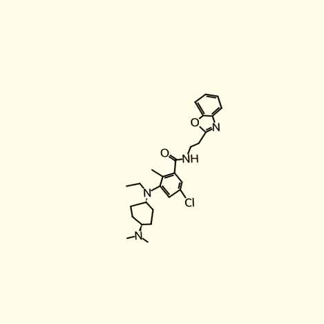 CCN(c1cc(Cl)cc(C(=O)NCCc2nc3ccccc3o2)c1C)[C@H]1CC[C@H](N(C)C)CC1